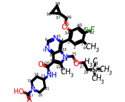 Cc1cc(-c2ncnc3c(C(=O)NC4CCN(C(=O)O)CC4)c(C)n(COCC[Si](C)(C)C)c23)c(OCC2CC2)cc1F